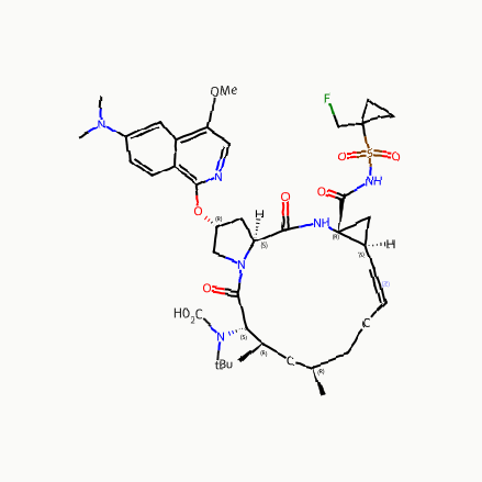 COc1cnc(O[C@@H]2C[C@H]3C(=O)N[C@]4(C(=O)NS(=O)(=O)C5(CF)CC5)C[C@H]4/C=C\CC[C@@H](C)C[C@@H](C)[C@H](N(C(=O)O)C(C)(C)C)C(=O)N3C2)c2ccc(N(C)C)cc12